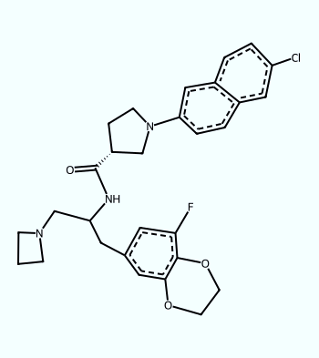 O=C(NC(Cc1cc(F)c2c(c1)OCCO2)CN1CCC1)[C@@H]1CCN(c2ccc3cc(Cl)ccc3c2)C1